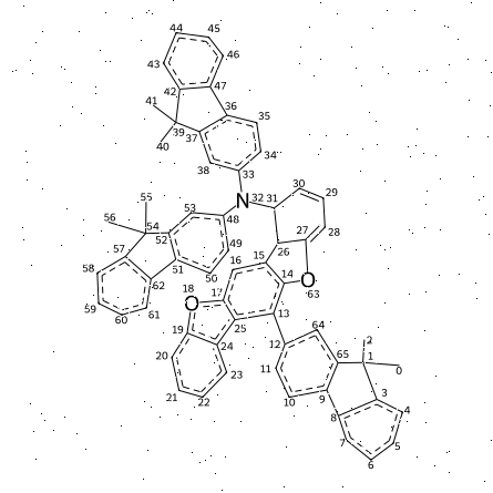 CC1(C)c2ccccc2-c2ccc(-c3c4c(cc5oc6ccccc6c35)C3C(=CC=CC3N(c3ccc5c(c3)C(C)(C)c3ccccc3-5)c3ccc5c(c3)C(C)(C)c3ccccc3-5)O4)cc21